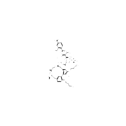 Cc1nc(-c2ccc(C(C)(C)C)cc2CO)nc(N)c1C(=O)N[C@@H](CNS(N)(=O)=O)C(=O)N(C)[C@@H]1C(=O)N[C@@H](C)C(=O)N[C@H](C(=O)O)Cc2ccc(OCCCN)c(c2)-c2cc1cc(OC[C@H](O)CN)c2O